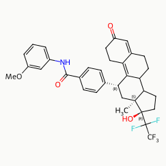 COc1cccc(NC(=O)c2ccc([C@H]3C[C@@]4(C)C(CC[C@]4(O)C(F)(F)C(F)(F)F)C4CCC5=CC(=O)CCC5=C43)cc2)c1